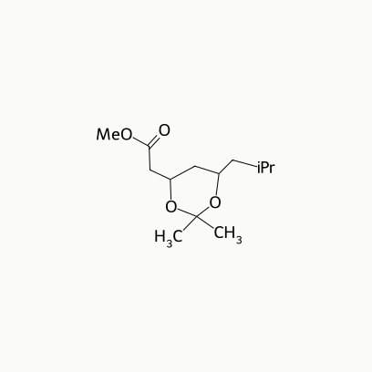 COC(=O)CC1CC(CC(C)C)OC(C)(C)O1